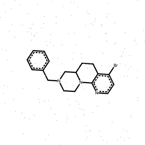 Brc1ccnc2c1CCC1CN(Cc3ccccc3)CCN21